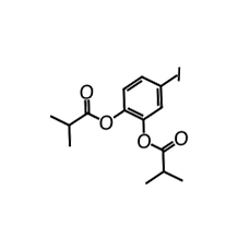 CC(C)C(=O)Oc1ccc(I)cc1OC(=O)C(C)C